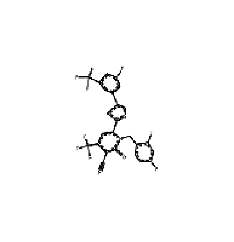 N#Cc1c(C(F)(F)F)cc(-c2cc(-c3cc(F)cc(C(F)(F)F)c3)cs2)n(Cc2ccc(F)cc2F)c1=O